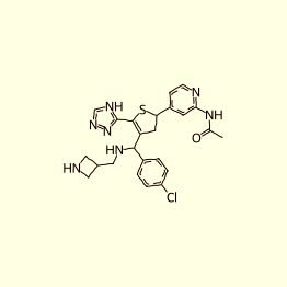 CC(=O)Nc1cc(C2CC(C(NCC3CNC3)c3ccc(Cl)cc3)=C(c3nnc[nH]3)S2)ccn1